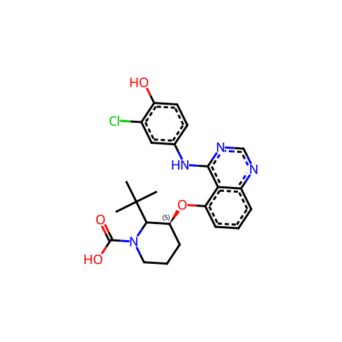 CC(C)(C)C1[C@@H](Oc2cccc3ncnc(Nc4ccc(O)c(Cl)c4)c23)CCCN1C(=O)O